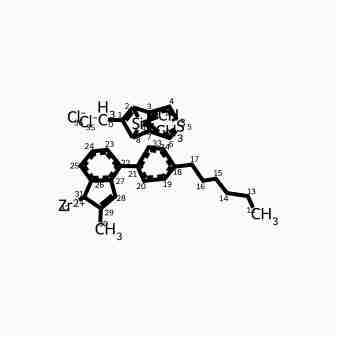 CC1=C2c3cscc3C1[Si]2(C)C.CCCCCCc1ccc(-c2cccc3c2C=C(C)[CH]3[Zr+2])cc1.[Cl-].[Cl-]